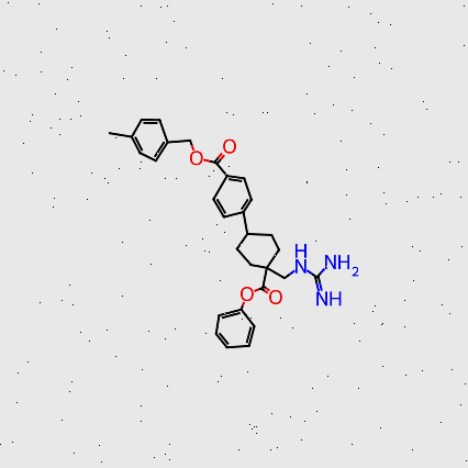 Cc1ccc(COC(=O)c2ccc(C3CCC(CNC(=N)N)(C(=O)Oc4ccccc4)CC3)cc2)cc1